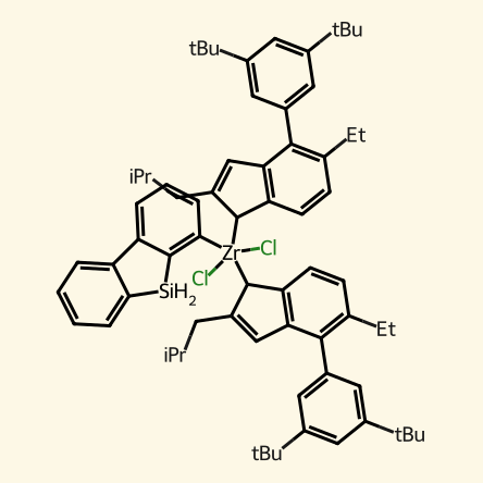 CCc1ccc2c(c1-c1cc(C(C)(C)C)cc(C(C)(C)C)c1)C=C(CC(C)C)[CH]2[Zr]([Cl])([Cl])([c]1cccc2c1[SiH2]c1ccccc1-2)[CH]1C(CC(C)C)=Cc2c1ccc(CC)c2-c1cc(C(C)(C)C)cc(C(C)(C)C)c1